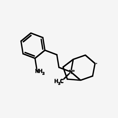 C[N+]1(CCc2ccccc2N)C2C[CH]CC1CC2